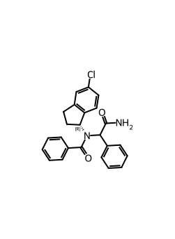 NC(=O)C(c1ccccc1)N(C(=O)c1ccccc1)[C@@H]1CCc2cc(Cl)ccc21